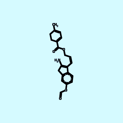 CC1=CC=C(C(=O)OC/C=C\C2=C(N)Cc3cc(OC=O)ccc32)CC1